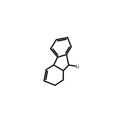 [Li][CH]1c2ccccc2C2C=CCCC12